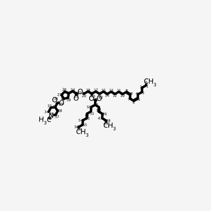 CCCCC/C=C\C/C=C\CCCCCCCCC(CCOC(=O)CC1CCC(OC(=O)C2CCN(C)CC2)C1)OC(=O)C(CCCCCC)CCCCCCCC